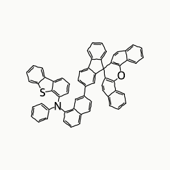 c1ccc(N(c2cccc3ccc(-c4ccc5c(c4)C4(c6ccccc6-5)c5ccc6ccccc6c5Oc5c4ccc4ccccc54)cc23)c2cccc3c2sc2ccccc23)cc1